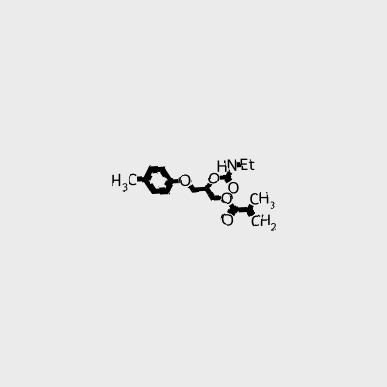 C=C(C)C(=O)OCC(COc1ccc(C)cc1)OC(=O)NCC